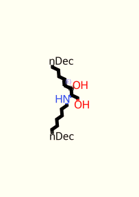 CCCCCCCCCCCCC/C=C/[C@@H](O)C(CO)NCCCCCCCCCCCCCCCC